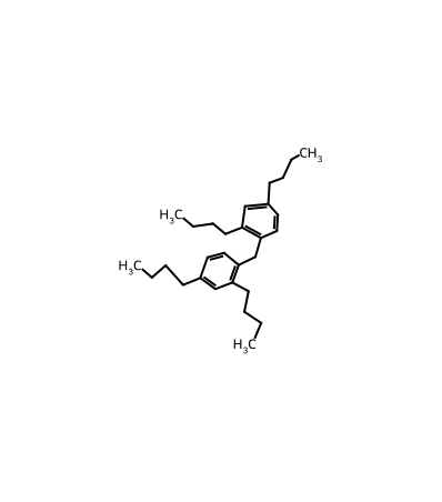 CCCCc1ccc(Cc2ccc(CCCC)cc2CCCC)c(CCCC)c1